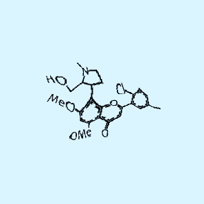 COc1cc(OC)c2c(=O)cc(-c3cc(C)ccc3Cl)oc2c1C1CCN(C)C1CO